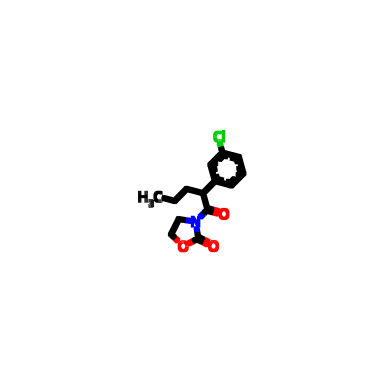 CCCC(C(=O)N1CCOC1=O)c1cccc(Cl)c1